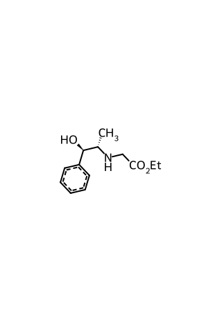 CCOC(=O)CN[C@@H](C)[C@H](O)c1ccccc1